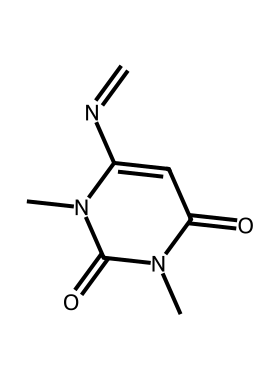 C=Nc1cc(=O)n(C)c(=O)n1C